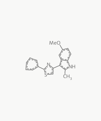 COc1ccc2[nH]c(C)c(-c3csc(-c4ccccc4)n3)c2c1